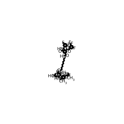 Cc1ncsc1-c1ccc([C@H](C)NC(=O)[C@@H]2C[C@@H](O)CN2C(=O)[C@@H](NC(=O)CCCCCCCCCNC(=O)c2cc(NC(=O)c3cc(F)cc(C(F)(F)F)c3)c3c(c2)C(=O)N[C@H]3c2cc(F)ccc2Cl)C(C)(C)C)cc1